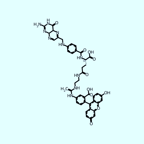 C=C(NCCNC(=O)CC[C@H](NC(=O)c1ccc(NCC2=NC3C(=O)NC(N)=NC3N=C2)cc1)C(=O)O)Nc1ccc(-c2c3ccc(=O)cc-3oc3cc(O)ccc23)c(C(=O)O)c1